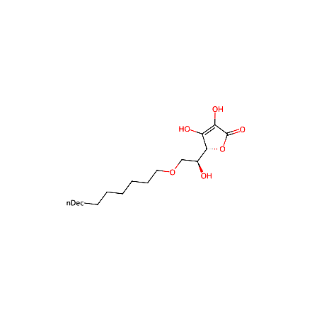 CCCCCCCCCCCCCCCCOC[C@H](O)[C@H]1OC(=O)C(O)=C1O